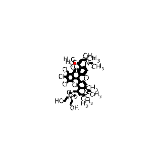 CCOC(=O)c1c(Cl)c(Cl)c(Cl)c(Cl)c1C1=C2C=C3C(CS(=O)(=O)N(CCO)CCO)=CC(C)(C)N(CC)C3(C)C=C2Oc2cc3c(cc21)C(C)=CC(C)(C)N3CC